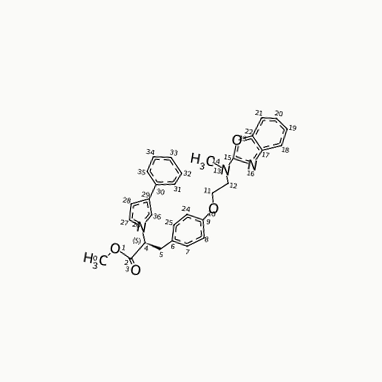 COC(=O)[C@H](Cc1ccc(OCCN(C)c2nc3ccccc3o2)cc1)n1ccc(-c2ccccc2)c1